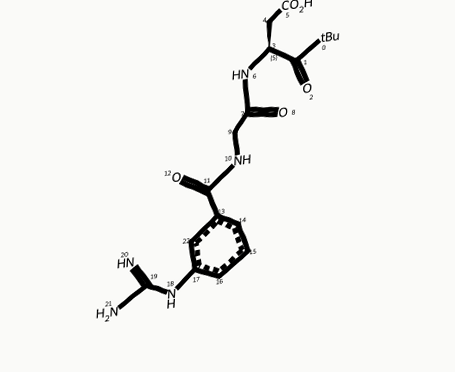 CC(C)(C)C(=O)[C@H](CC(=O)O)NC(=O)CNC(=O)c1cccc(NC(=N)N)c1